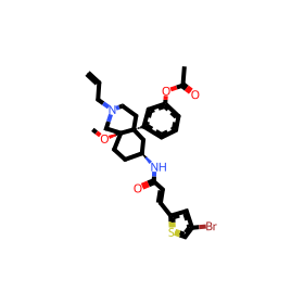 C=CCN1CC[C@@]2(c3cccc(OC(C)=O)c3)C[C@@H](NC(=O)C=Cc3cc(Br)cs3)CC[C@]2(OC)C1